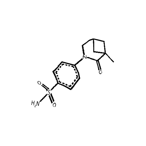 CC12CC(CN(c3ccc(S(N)(=O)=O)cc3)C1=O)C2